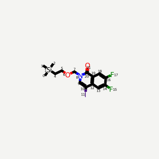 C[Si](C)(C)CCOCn1cc(I)c2cc(F)c(F)cc2c1=O